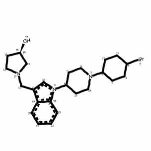 CC(C)C1CCC(N2CCC(n3cc(CN4CC[C@@H](O)C4)c4ccccc43)CC2)CC1